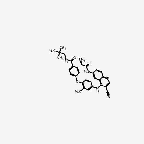 C=CC(=O)Nc1ccc2ncc(C#N)c(Nc3ccc(Oc4ccc(C(=O)NCC(C)(C)C)cc4)c(C)c3)c2c1